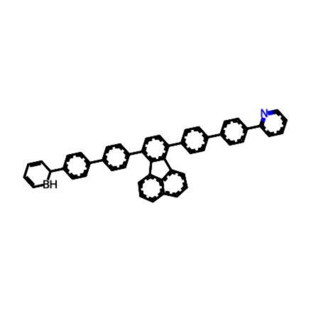 B1C=CC=CC1c1ccc(-c2ccc(-c3ccc(-c4ccc(-c5ccc(-c6ccccn6)cc5)cc4)c4c3-c3cccc5cccc-4c35)cc2)cc1